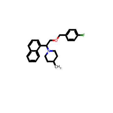 CC1CCN(C(COCc2ccc(F)cc2)c2cccc3ccccc23)CC1